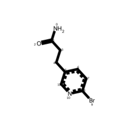 NC(=O)C[CH]c1ccc(Br)nc1